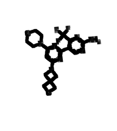 Nc1ncc(-c2nc(N3CCOCC3)cc(N3CC4(COC4)C3)n2)c(C(F)(F)F)n1